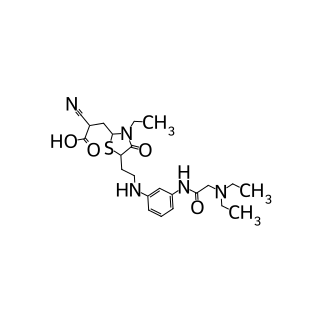 CCN(CC)CC(=O)Nc1cccc(NCCC2SC(CC(C#N)C(=O)O)N(CC)C2=O)c1